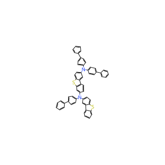 c1ccc(-c2ccc(N(c3ccc4c(c3)sc3ccc(N(c5ccc(-c6ccccc6)cc5)c5ccc(-c6ccccc6)cc5)cc34)c3ccc4sc5ccccc5c4c3)cc2)cc1